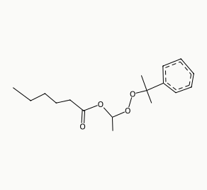 CCCCCC(=O)OC(C)OOC(C)(C)c1ccccc1